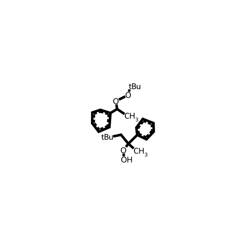 CC(C)(C)CC(C)(OO)c1ccccc1.CC(OOC(C)(C)C)c1ccccc1